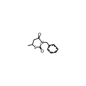 CC1CC(=O)N(Cc2ccccc2)C(=O)S1